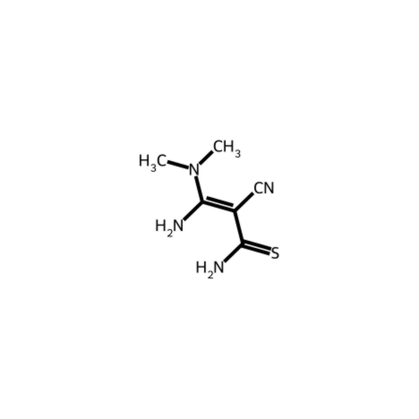 CN(C)C(N)=C(C#N)C(N)=S